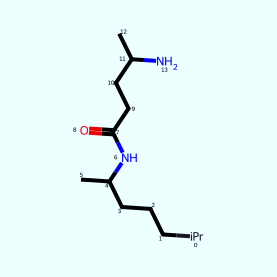 CC(C)CCCC(C)NC(=O)CCC(C)N